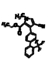 CCOC(=O)c1c(-c2ccc(-c3ccccc3C(F)(F)F)cc2)c(C#N)cn1C